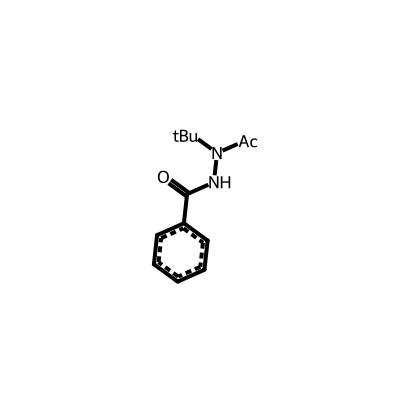 CC(=O)N(NC(=O)c1ccccc1)C(C)(C)C